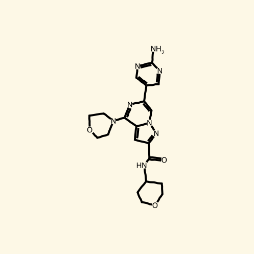 Nc1ncc(-c2cn3nc(C(=O)NC4CCOCC4)cc3c(N3CCOCC3)n2)cn1